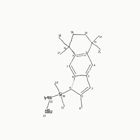 CC1=Cc2cc3c(cc2C1[Si](C)(C)NC(C)(C)C)C(C)(C)CCC3(C)C